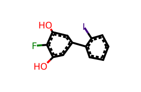 Oc1cc(-c2ccccc2I)cc(O)c1F